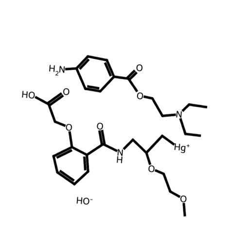 CCN(CC)CCOC(=O)c1ccc(N)cc1.COCCOC([CH2][Hg+])CNC(=O)c1ccccc1OCC(=O)O.[OH-]